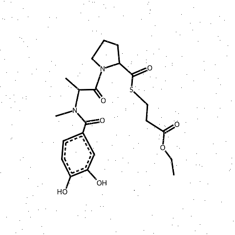 CCOC(=O)CCSC(=O)C1CCCN1C(=O)C(C)N(C)C(=O)c1ccc(O)c(O)c1